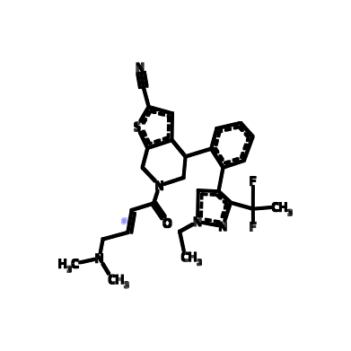 CCn1cc(-c2ccccc2C2CN(C(=O)/C=C/CN(C)C)Cc3sc(C#N)cc32)c(C(C)(F)F)n1